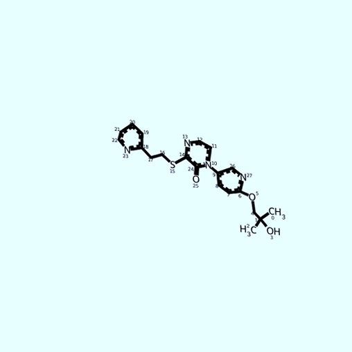 CC(C)(O)COc1ccc(-n2ccnc(SCCc3ccccn3)c2=O)cn1